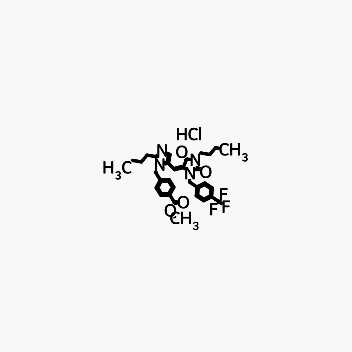 CCCCc1ncc(C=C2C(=O)N(CCCC)C(=O)N2Cc2ccc(C(F)(F)F)cc2)n1Cc1ccc(C(=O)OC)cc1.Cl